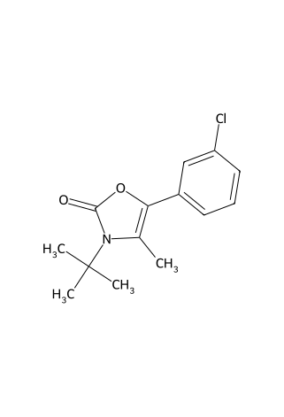 Cc1c(-c2cccc(Cl)c2)oc(=O)n1C(C)(C)C